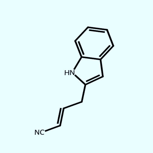 N#CC=CCc1cc2ccccc2[nH]1